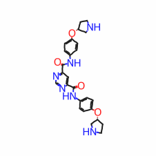 O=C(Nc1ccc(O[C@@H]2CCNC2)cc1)c1cc(C(=O)Nc2ccc(O[C@@H]3CCNC3)cc2)ncn1